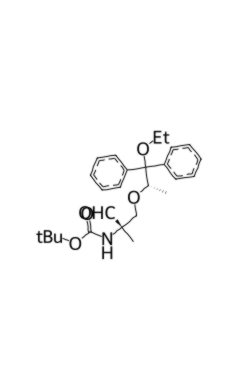 CCOC(c1ccccc1)(c1ccccc1)[C@H](C)OC[C@@](C)(C=O)NC(=O)OC(C)(C)C